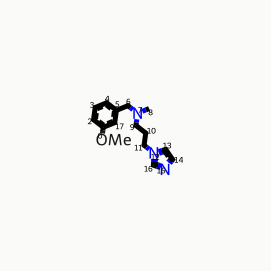 COc1cccc(CN(C)CCCn2ccnc2)c1